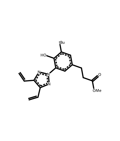 C=Cc1nn(-c2cc(CCC(=O)OC)cc(C(C)(C)C)c2O)nc1C=C